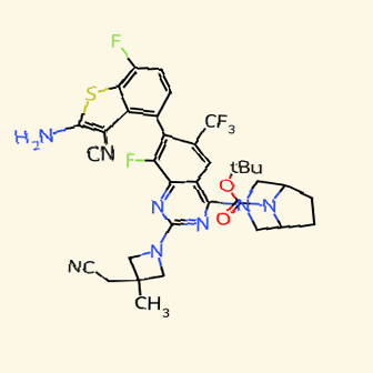 CC1(CC#N)CN(c2nc(N3CC4CCC(C3)N4C(=O)OC(C)(C)C)c3cc(C(F)(F)F)c(-c4ccc(F)c5sc(N)c(C#N)c45)c(F)c3n2)C1